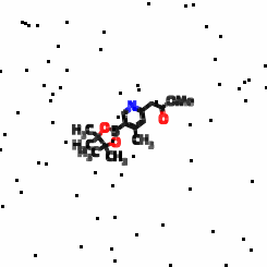 COC(=O)Cc1cc(C)c(B2OC(C)(C)C(C)(C)O2)cn1